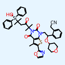 Cc1c(-c2ncco2)sc2c1c(=O)n(C(C)(C)C(=O)CC(C)(C)[Si](O)(c1ccccc1)c1ccccc1)c(=O)n2CC(OC1CCOCC1)c1ccccc1CC#N